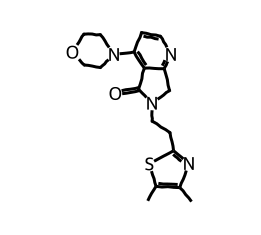 Cc1nc(CCN2Cc3nccc(N4CCOCC4)c3C2=O)sc1C